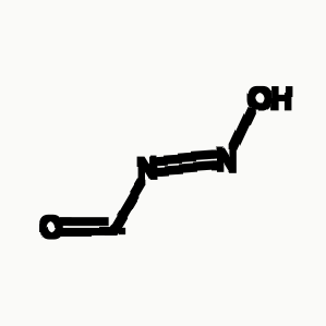 O=[C]N=NO